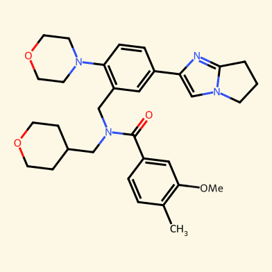 COc1cc(C(=O)N(Cc2cc(-c3cn4c(n3)CCC4)ccc2N2CCOCC2)CC2CCOCC2)ccc1C